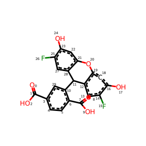 O=C(O)c1ccc(C(=O)O)c(C2c3cc(F)c(O)cc3Oc3cc(O)c(F)cc32)c1